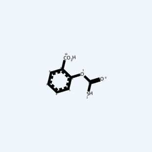 O=C(S)Oc1ccccc1C(=O)O